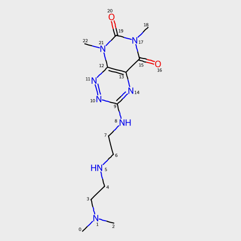 CN(C)CCNCCNc1nnc2c(n1)c(=O)n(C)c(=O)n2C